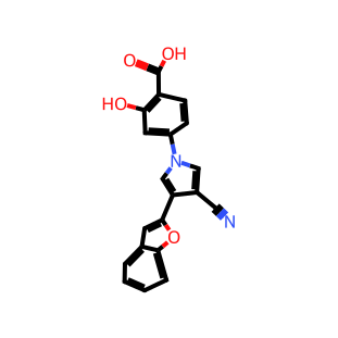 N#Cc1cn(-c2ccc(C(=O)O)c(O)c2)cc1-c1cc2ccccc2o1